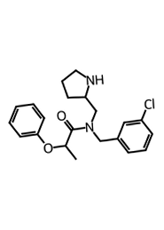 CC(Oc1ccccc1)C(=O)N(Cc1cccc(Cl)c1)CC1CCCN1